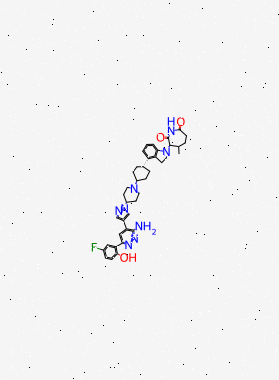 CC1CCC(=O)NC(=O)[C@@H]1N1CCc2c1cccc2[C@H]1CC[C@H](N2CCC(n3cc(-c4cc(-c5cc(F)ccc5O)nnc4N)cn3)CC2)CC1